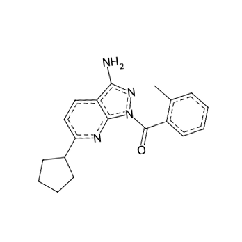 Cc1ccccc1C(=O)n1nc(N)c2ccc(C3CCCC3)nc21